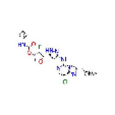 COCc1cn2c(Nc3cc([C@@H]4OC[C@H](OC(=O)NC56CC(C5)C6)[C@@H]4F)[nH]n3)ncc(Cl)c2n1